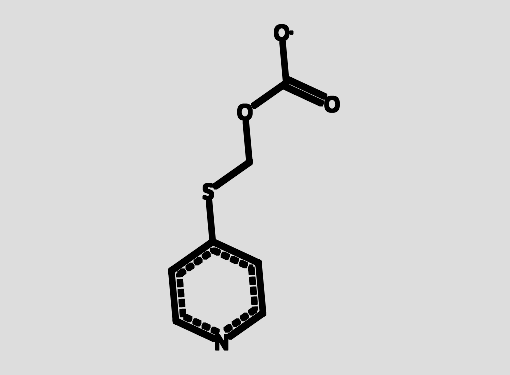 [O]C(=O)OCSc1ccncc1